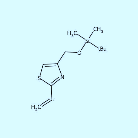 C=[C]c1nc(CO[Si](C)(C)C(C)(C)C)cs1